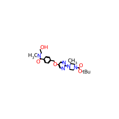 C[C@@H]1CN(C(=O)OC(C)(C)C)CCN1c1ncc(OCc2ccc(C(=O)N(C)CCO)cc2)cn1